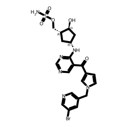 NS(=O)(=O)OC[C@H]1C[C@@H](Nc2ncncc2C(=O)c2ccn(Cc3cncc(Br)c3)c2)C[C@@H]1O